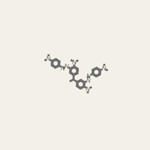 CC(c1ccc(N(C)C)c(N=Nc2ccc(N(C)C)cc2)c1)c1ccc(N(C)C)c(N=Nc2ccc(N(C)C)cc2)c1